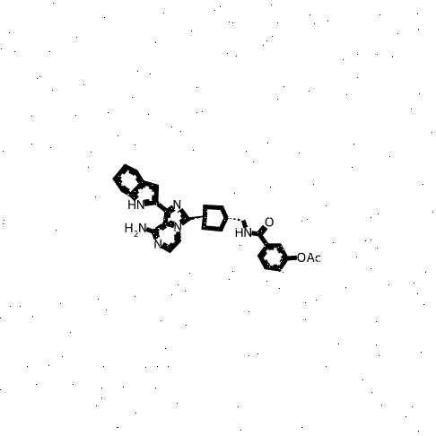 CC(=O)Oc1cccc(C(=O)NC[C@H]2CC[C@H](c3nc(-c4cc5ccccc5[nH]4)c4c(N)nccn43)CC2)c1